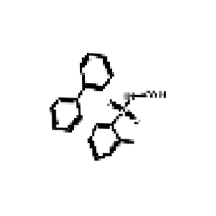 Cc1ccccc1S(=O)(=O)NC(=O)O.c1ccc(-c2ccccc2)cc1